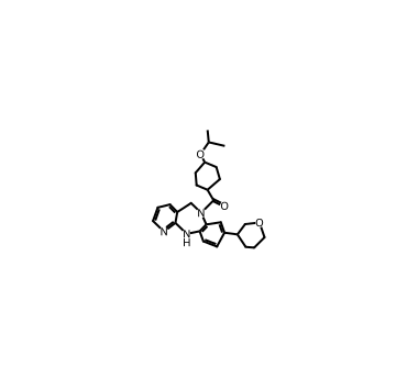 CC(C)OC1CCC(C(=O)N2Cc3cccnc3Nc3ccc(C4CCCOC4)cc32)CC1